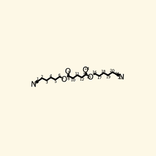 N#CCCCCCOC(=O)CCCC(=O)OCCCCCC#N